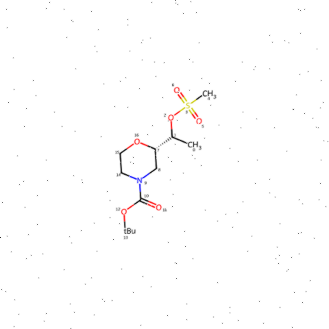 CC(OS(C)(=O)=O)[C@@H]1CN(C(=O)OC(C)(C)C)CCO1